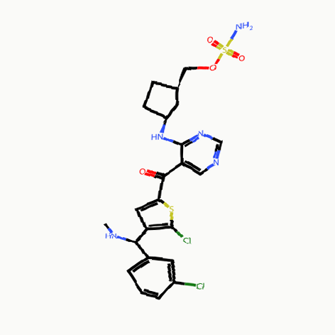 CNC(c1cccc(Cl)c1)c1cc(C(=O)c2cncnc2N[C@H]2CC[C@@H](COS(N)(=O)=O)C2)sc1Cl